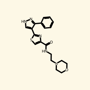 O=C(NCCN1CCOCC1)c1csc(-c2c[nH]nc2-c2ccccc2)n1